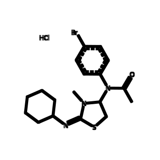 CC(=O)N(c1ccc(Br)cc1)C1CSC(=NC2CCCCC2)N1C.Cl